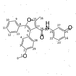 COc1ccc(-c2c(-c3ccccc3)oc(C)c2C(=O)Nc2cccc([O])c2)cc1